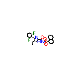 C/C=C1\C=C(C(=O)NS(=O)(=O)c2cccc3ccccc23)N=C1c1c(F)cccc1F